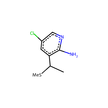 CSC(C)c1cc(Cl)cnc1N